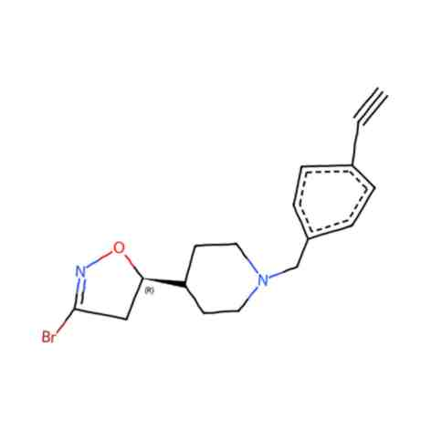 C#Cc1ccc(CN2CCC([C@H]3CC(Br)=NO3)CC2)cc1